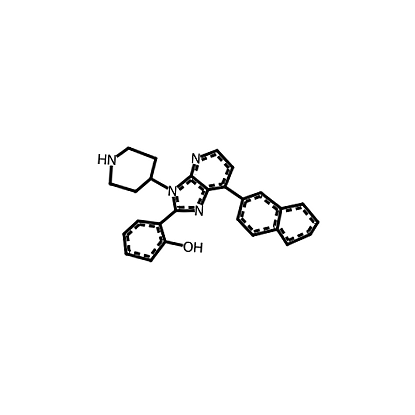 Oc1ccccc1-c1nc2c(-c3ccc4ccccc4c3)ccnc2n1C1CCNCC1